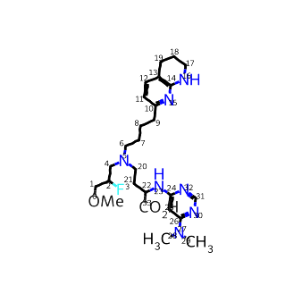 COCC(F)CN(CCCCc1ccc2c(n1)NCCC2)CCC(Nc1cc(N(C)C)ncn1)C(=O)O